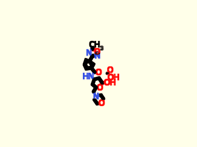 Cc1nc(-c2cccc(C(=O)NC(CCCN3CCOCC3)CC(=O)O)c2)no1.O=CO